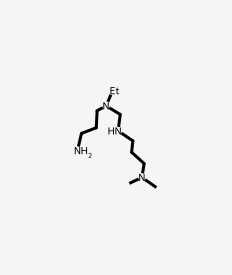 CCN(CCCN)CNCCCN(C)C